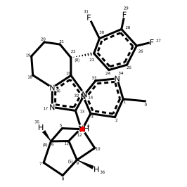 Cc1cc(N2C[C@H]3CC[C@@H](C2)C3Nc2nc3n(n2)CCCC[C@@H]3c2ccc(F)c(F)c2F)ncn1